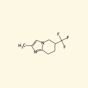 Cc1cn2c(n1)CCC(C(F)(F)F)C2